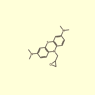 CN(C)c1ccc2c(c1)Sc1cc(N(C)C)ccc1N2CC1CO1